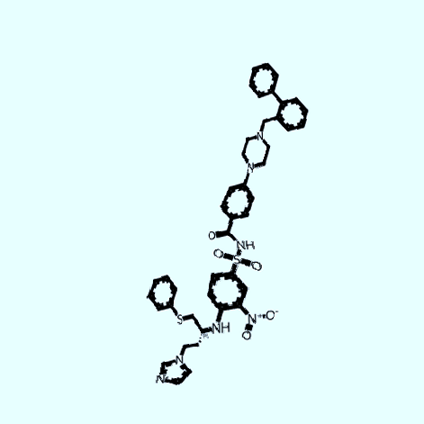 O=C(NS(=O)(=O)c1ccc(N[C@H](CCn2ccnc2)CSc2ccccc2)c([N+](=O)[O-])c1)c1ccc(N2CCN(Cc3ccccc3-c3ccccc3)CC2)cc1